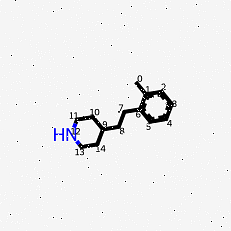 Cc1ccccc1[CH]CC1CCNCC1